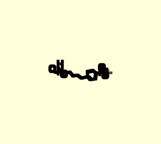 O=CNOCCCCc1ccc([N+](=O)[O-])cc1